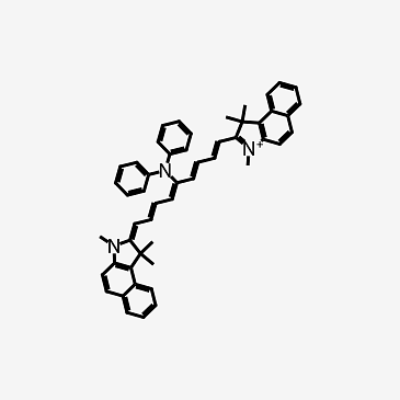 CN1/C(=C/C=C/C=C(/C=C/C=C/C2=[N+](C)c3ccc4ccccc4c3C2(C)C)N(c2ccccc2)c2ccccc2)C(C)(C)c2c1ccc1ccccc21